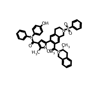 Cc1c(C(=O)N(c2ccccc2)c2ccc(O)cc2)cc(-c2cc3c(cc2C(=O)N2Cc4ccccc4C[C@H]2C)CN(S(=O)(=O)c2ccccc2)CC3)n1C